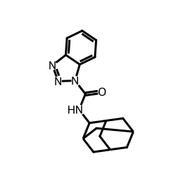 O=C(NC1C2CC3CC(C2)CC1C3)n1nnc2ccccc21